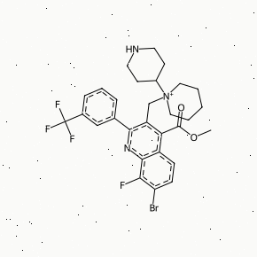 COC(=O)c1c(C[N+]2(C3CCNCC3)CCCCC2)c(-c2cccc(C(F)(F)F)c2)nc2c(F)c(Br)ccc12